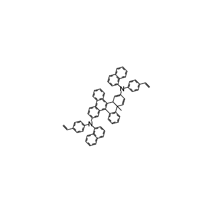 C=Cc1ccc(N(C2=CC3c4c(c5cc(N(c6ccc(C=C)cc6)c6cccc7ccccc67)ccc5c5ccccc45)-c4ccccc4C3(C)C=C2)c2cccc3ccccc23)cc1